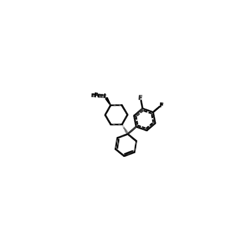 CCCCC[C@H]1CC[C@H](C2(c3ccc(F)c(F)c3)C=CC=CC2)CC1